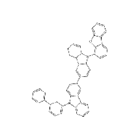 C1=CC(c2ccccc2)CC(n2c3ccccc3c3cc(C4=CC5C6CCC=CC6N(c6cccc7c6oc6ccccc67)C5C=C4)ccc32)=C1